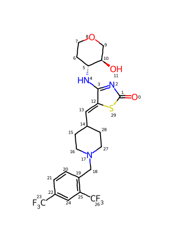 O=C1N=C(N[C@@H]2CCOC[C@H]2O)/C(=C/C2CCN(Cc3ccc(C(F)(F)F)cc3C(F)(F)F)CC2)S1